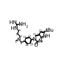 CN(CCCNC(=N)N)Cc1ccc(-n2cc3cc(C(C)(C)C)[nH]c3nc2=O)cc1